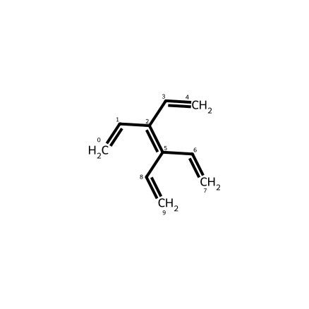 C=CC(C=C)=C(C=C)C=C